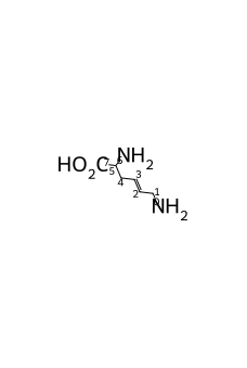 NC/C=C/CC(N)C(=O)O